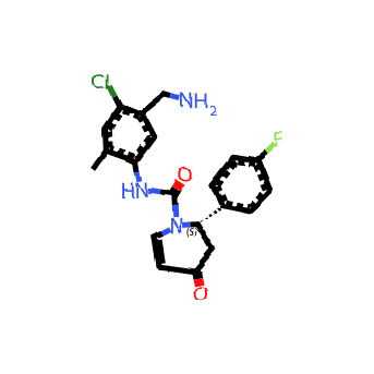 Cc1cc(Cl)c(CN)cc1NC(=O)N1C=CC(=O)C[C@H]1c1ccc(F)cc1